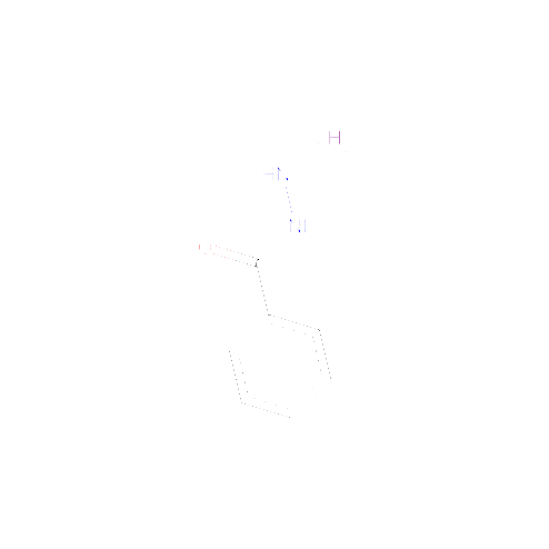 O=C(NNP)c1ccccc1